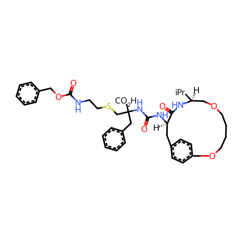 CC(C)[C@H]1COCCCCOc2ccc(cc2)C[C@@H](NC(=O)NC(CSCCNC(=O)OCc2ccccc2)(Cc2ccccc2)C(=O)O)C(=O)N1